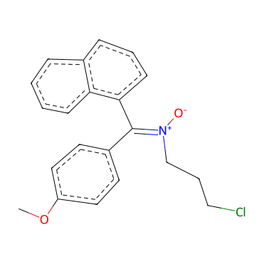 COc1ccc(/C(c2cccc3ccccc23)=[N+](/[O-])CCCCl)cc1